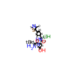 Cc1ncsc1-c1ccc(CNC(=O)[C@@H]2C[C@@H](O)CN2C(=O)[C@H](N)C(C)(C)C)cc1.Cl